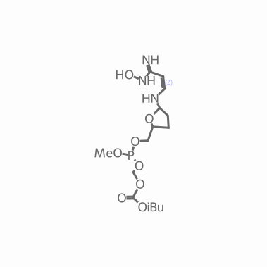 COP(OCOC(=O)OCC(C)C)OCC1CCC(N/C=C\C(=N)NO)O1